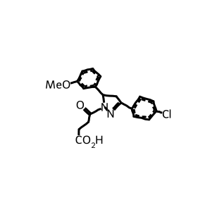 COc1cccc(C2CC(c3ccc(Cl)cc3)=NN2C(=O)CCC(=O)O)c1